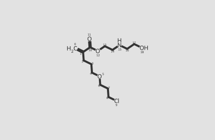 C=C(CCCOCCCCl)C(=O)OCCNCCO